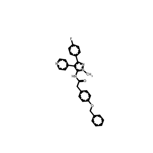 Cn1nc(-c2ccc(F)cc2)c(-c2ccncc2)c1NC(=O)Cc1ccc(OCc2ccccc2)cc1